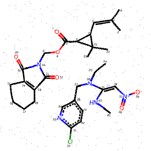 CC(C)=CC1C(C(=O)OCN2C(=O)C3=C(CCCC3)C2=O)C1(C)C.CCN(Cc1ccc(Cl)nc1)/C(=C/[N+](=O)[O-])NC